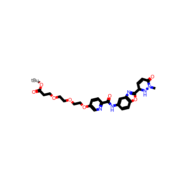 CN1NC(c2nc3cc(NC(=O)c4ccc(OCCOCCOCCC(=O)OC(C)(C)C)cn4)ccc3o2)C=CC1=O